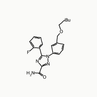 CCC(C)COCc1cccc(-n2nc(C(N)=O)nc2-c2ccccc2F)c1